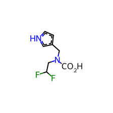 O=C(O)N(Cc1cc[nH]c1)CC(F)F